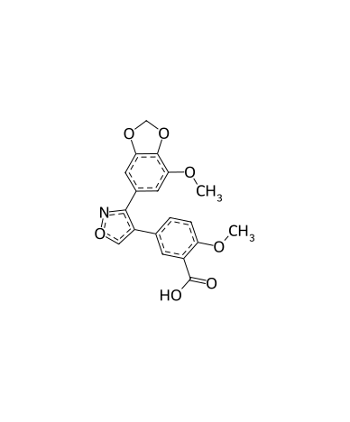 COc1ccc(-c2conc2-c2cc(OC)c3c(c2)OCO3)cc1C(=O)O